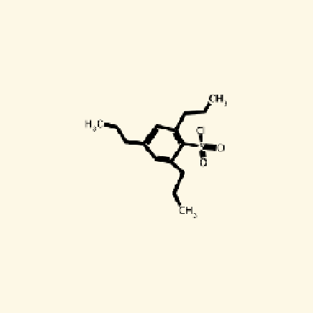 CCCc1cc(CCC)c(S(=O)(=O)Cl)c(CCC)c1